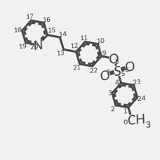 Cc1ccc(S(=O)(=O)Oc2ccc(CCc3ccccn3)cc2)cc1